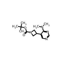 CN(C)c1ncncc1C1CN(C(=O)OC(C)(C)C)C1